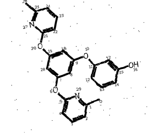 Cc1cccc(Oc2cc(Oc3cccc(O)c3)cc(Oc3cccc(C)n3)c2)n1